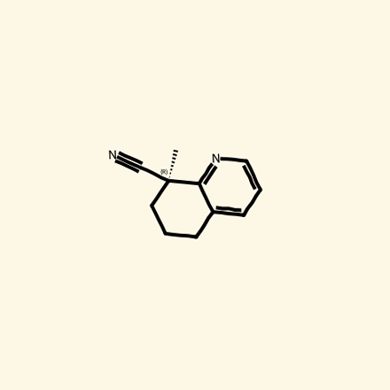 C[C@@]1(C#N)CCCc2cccnc21